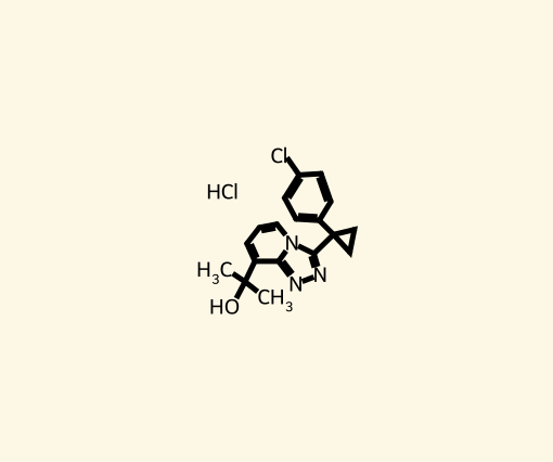 CC(C)(O)c1cccn2c(C3(c4ccc(Cl)cc4)CC3)nnc12.Cl